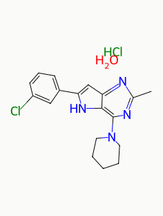 Cc1nc(N2CCCCC2)c2[nH]c(-c3cccc(Cl)c3)cc2n1.Cl.O